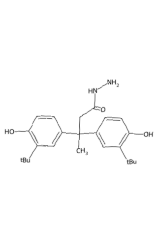 CC(C)(C)c1cc(C(C)(CC(=O)NN)c2ccc(O)c(C(C)(C)C)c2)ccc1O